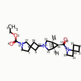 CCOC(=O)N1CCC2(CC(N3C[C@@H]4[C@H](C3)[C@@H]4C(=O)N3CCC34CCC4)C2)C1